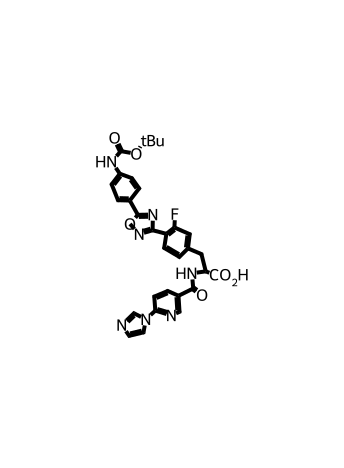 CC(C)(C)OC(=O)Nc1ccc(-c2nc(-c3ccc(CC(NC(=O)c4ccc(-n5ccnc5)nc4)C(=O)O)cc3F)no2)cc1